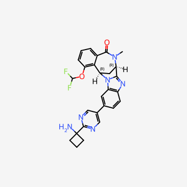 CN1C(=O)c2cccc(OC(F)F)c2[C@H]2C[C@@H]1c1nc3ccc(-c4cnc(C5(N)CCC5)nc4)cc3n12